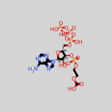 Nc1ncnc2c1ncn2[C@@H]1O[C@H](COP(=O)(O)OP(=O)(O)OP(=O)(O)O)[C@@H](OP(=O)(O)OCCOC(=O)O)[C@H]1O